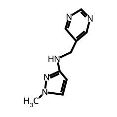 Cn1ccc(NCc2cncnc2)n1